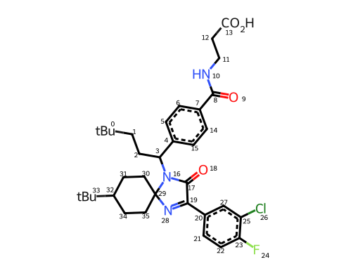 CC(C)(C)CCC(c1ccc(C(=O)NCCC(=O)O)cc1)N1C(=O)C(c2ccc(F)c(Cl)c2)=NC12CCC(C(C)(C)C)CC2